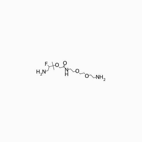 CC(C)(OCC(=O)NCCOCCOCCN)C(F)CN